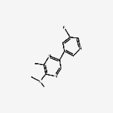 Cc1nc(-c2cncc(F)c2)cnc1N(C)C